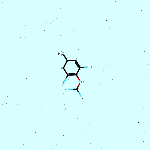 CC1C=C(F)C(OC(F)F)=C(F)C1